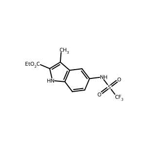 CCOC(=O)c1[nH]c2ccc(NS(=O)(=O)C(F)(F)F)cc2c1C